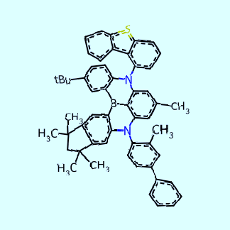 Cc1cc2c3c(c1)N(c1cccc4sc5ccccc5c14)c1ccc(C(C)(C)C)cc1B3c1cc3c(cc1N2c1ccc(-c2ccccc2)cc1C)C(C)(C)CC3(C)C